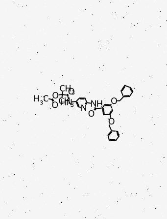 CC(=O)OC(C)(C)C(=O)Nc1ccc(NC(=O)c2cc(OCc3ccccc3)cc(OCc3ccccc3)c2)nc1